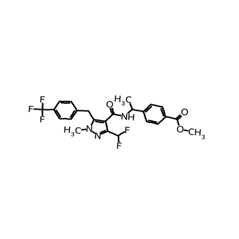 COC(=O)c1ccc(C(C)NC(=O)c2c(C(F)F)nn(C)c2Cc2ccc(C(F)(F)F)cc2)cc1